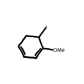 COC1=CC=CCC1I